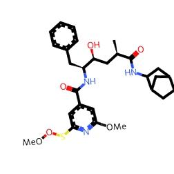 COOSc1cc(C(=O)N[C@@H](Cc2ccccc2)[C@@H](O)C[C@@H](C)C(=O)NC2CC3CCC2C3)cc(OC)n1